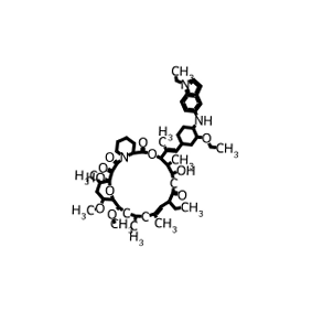 CCOC1CC(C=C(C)C2OC(=O)C3CCCCN3C(=O)C(=O)C3(O)OC(C(OC)CC(C)C/C(C)=C/C(CC)C(=O)CC(O)C2C)C(OC)CC3C)CCC1Nc1ccc2c(ccn2CC)c1